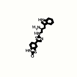 N[C@H](CNc1ncc(-c2ccc3[nH]c(=O)sc3c2)s1)Cc1c[nH]c2ccccc12